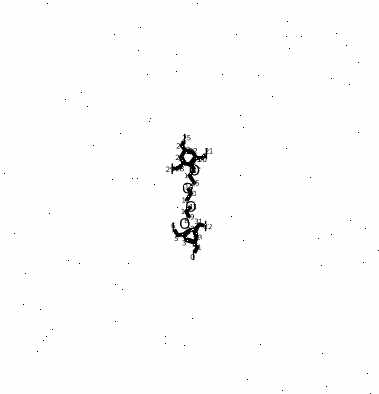 ICc1cc(CI)c(OCCOCCOCCOc2c(CI)cc(CI)cc2CI)c(CI)c1